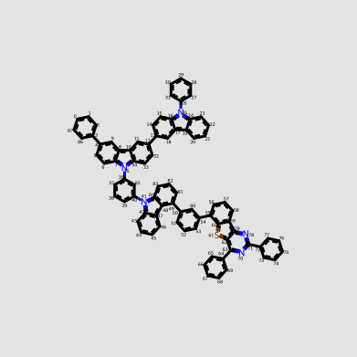 c1ccc(-c2ccc3c(c2)c2cc(-c4ccc5c(c4)c4ccccc4n5-c4ccccc4)ccc2n3-c2cccc(-n3c4ccccc4c4c(-c5cccc(-c6cccc7c6sc6c(-c8ccccc8)nc(-c8ccccc8)nc67)c5)cccc43)c2)cc1